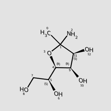 CC1(N)O[C@H]([C@@H](O)CO)[C@H](O)[C@@H]1O